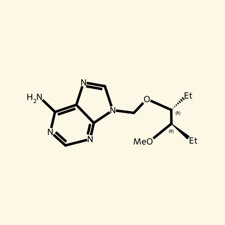 CC[C@@H](OC)[C@@H](CC)OCn1cnc2c(N)ncnc21